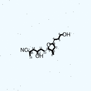 C=C1C[C@H](CCCO)O[C@H]1CCC(O)C[C@@H](C)C#N